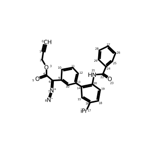 C#CCOC(=O)C(=[N+]=[N-])c1cccc(-c2cc(C(C)C)ccc2NC(=O)c2ccccc2)c1